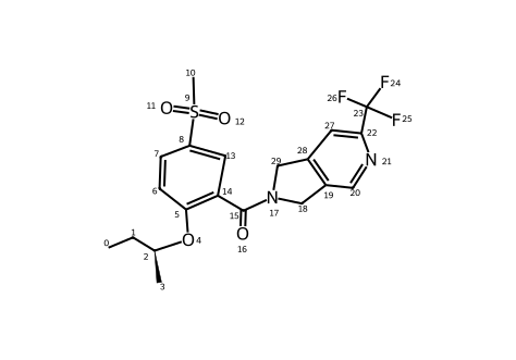 CC[C@H](C)Oc1ccc(S(C)(=O)=O)cc1C(=O)N1Cc2cnc(C(F)(F)F)cc2C1